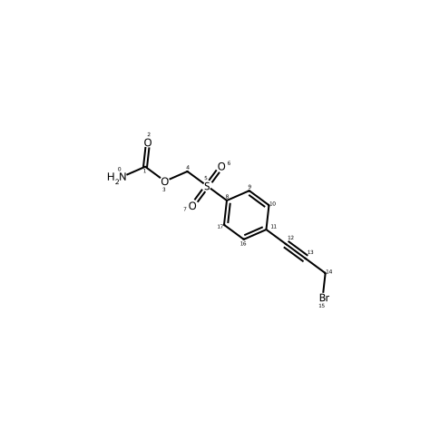 NC(=O)OCS(=O)(=O)c1ccc(C#CCBr)cc1